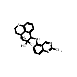 Cc1ncc2c(NC3c4cccc5c4C(C)(CCS5)CC3(O)C(F)(F)F)cccc2n1